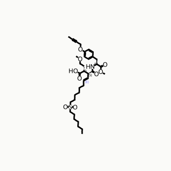 CC#CCOc1ccc(C[C@H](NC(=O)[C@@H](/C=C/CCCCCCS(=O)(=O)CCCCCCC)[C@@H](CCOC)C(=O)O)C(=O)OC)cc1